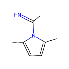 CC(=N)n1c(C)ccc1C